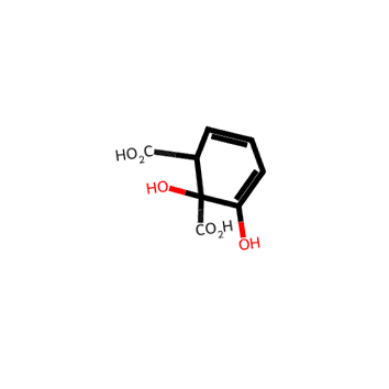 O=C(O)C1C=CC=C(O)C1(O)C(=O)O